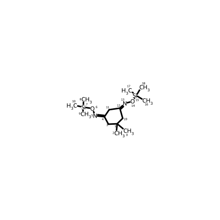 CC1(C)C/C(=N/O[Si](C)(C)C)C/C(=N/O[Si](C)(C)C)C1